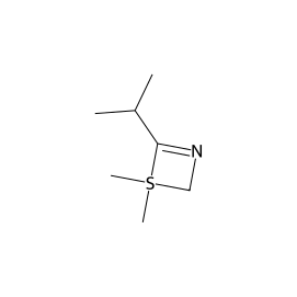 CC(C)C1=NCS1(C)C